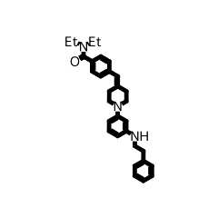 CCN(CC)C(=O)c1ccc(C=C2CCN(c3cccc(NCCc4ccccc4)c3)CC2)cc1